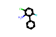 Nc1c(Cl)ccc(F)c1-c1ccccc1